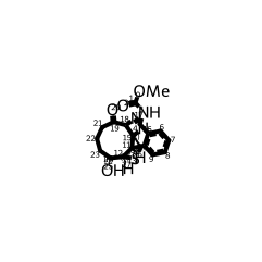 COC(=O)NCc1ccccc1[C@@H]1[C@H]2SC[C@@]13N=NC3C(=O)CCC[C@H]2O